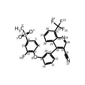 CS(=O)(=O)c1ccc(Oc2cccc(-c3c(C#N)cnc4c(C(F)(F)F)cccc34)c2)c(F)c1